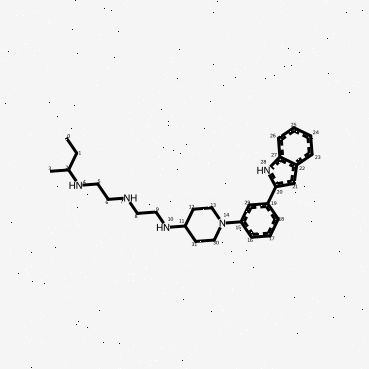 CCC(C)NCCNCCNC1CCN(c2cccc(-c3cc4ccccc4[nH]3)c2)CC1